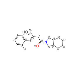 Cc1ccccc1C=C(CC(=O)N1CC2CCCCC2C1)C(=O)O